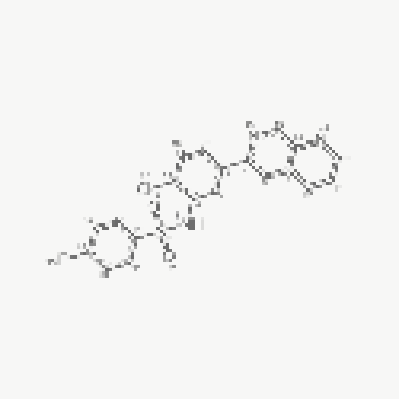 O=S(=O)(Nc1cc(-c2cc3cccnc3cn2)cnc1Cl)c1ccc(F)cc1